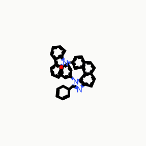 C1=CCC(c2nc3ccc4ccc5ccc(-n6c7ccccc7c7ccccc76)cc5c4c3n2-c2ccccc2)C=C1